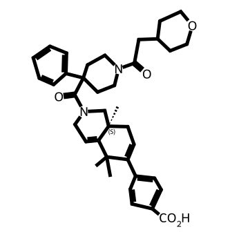 CC1(C)C(c2ccc(C(=O)O)cc2)=CC[C@]2(C)CN(C(=O)C3(c4ccccc4)CCN(C(=O)CC4CCOCC4)CC3)CC=C12